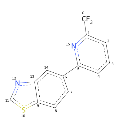 FC(F)(F)c1cccc(-c2ccc3scnc3c2)n1